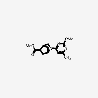 COC(=O)C1CC2CC1CN2c1cc(C)nc(OC)n1